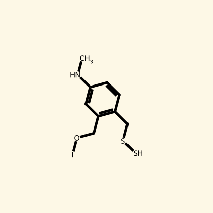 CNc1ccc(CSS)c(COI)c1